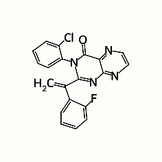 C=C(c1ccccc1F)c1nc2nccnc2c(=O)n1-c1ccccc1Cl